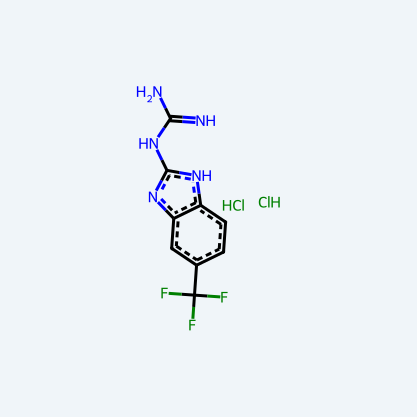 Cl.Cl.N=C(N)Nc1nc2cc(C(F)(F)F)ccc2[nH]1